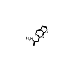 C=C(N)Cc1ncc2ccsc2n1